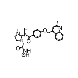 Cc1cc(COc2ccc(C(=O)NC3[C@H](CC(=O)NO)CCN3C)cc2)c2ccccc2n1